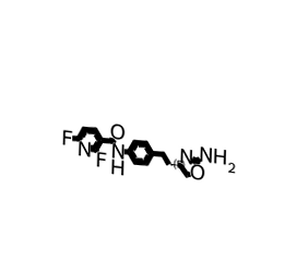 NC1=N[C@@H](CCc2ccc(NC(=O)c3ccc(F)nc3F)cc2)CO1